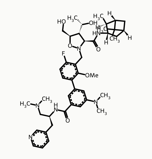 COc1c(-c2cc(C(=O)N[C@@H](Cc3cccnc3)CN(C)C)cc(N(C)C)c2)ccc(F)c1CN1O[C@@H](CO)[C@H]([C@H](C)O)[C@H]1C(=O)N[C@H]1C[C@H]2C[C@@H]([C@@H]1C)C2(C)C